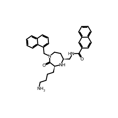 NCCCC[C@@H]1N[C@H](CNC(=O)c2ccc3ccccc3c2)CCN(Cc2cccc3ccccc23)C1=O